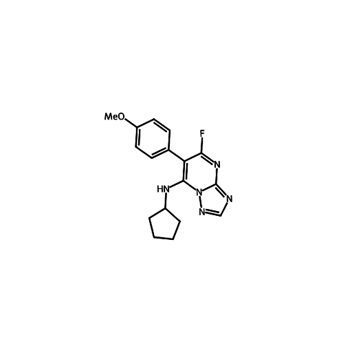 COc1ccc(-c2c(F)nc3ncnn3c2NC2CCCC2)cc1